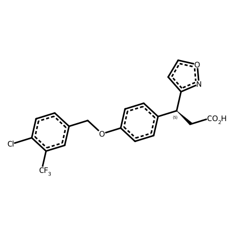 O=C(O)C[C@@H](c1ccc(OCc2ccc(Cl)c(C(F)(F)F)c2)cc1)c1ccon1